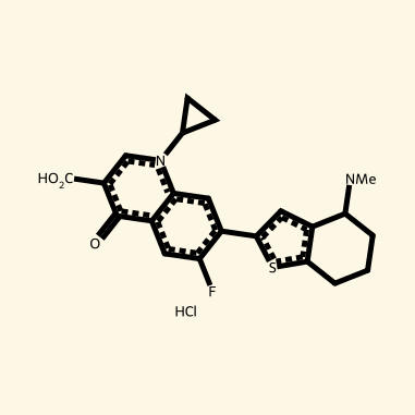 CNC1CCCc2sc(-c3cc4c(cc3F)c(=O)c(C(=O)O)cn4C3CC3)cc21.Cl